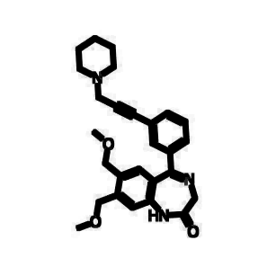 COCc1cc2c(cc1COC)C(c1cccc(C#CCN3CCCCC3)c1)=NCC(=O)N2